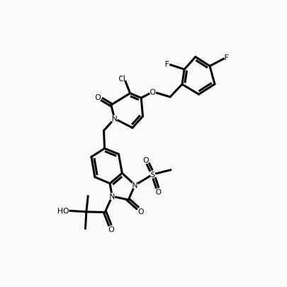 CC(C)(O)C(=O)n1c(=O)n(S(C)(=O)=O)c2cc(Cn3ccc(OCc4ccc(F)cc4F)c(Cl)c3=O)ccc21